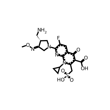 CON=C1CN(c2nc3c(cc2F)c(=O)c(C(=O)O)c(CS(=O)(=O)O)n3C2CC2)C[C@H]1CN